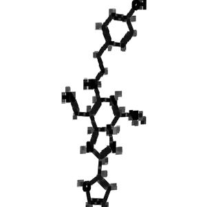 N=Cc1c(NCCc2ccc(O)cc2)nc(N)n2nc(-c3ccco3)nc12